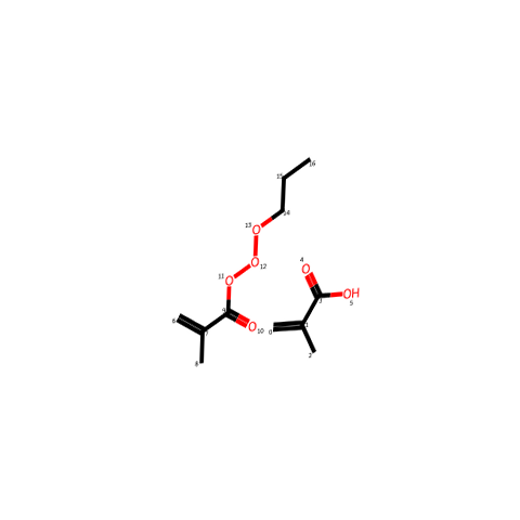 C=C(C)C(=O)O.C=C(C)C(=O)OOOCCC